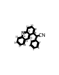 N#CC(c1ccccc1)c1cccc2nc3ccccc3cc12